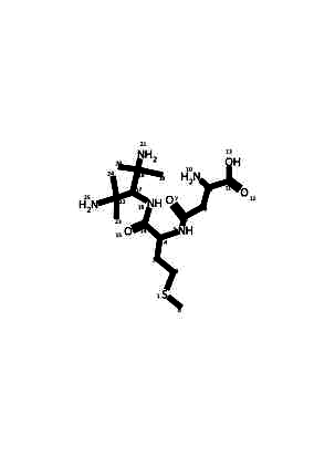 CSCCC(NC(=O)CC(N)C(=O)O)C(=O)NC(C(C)(C)N)C(C)(C)N